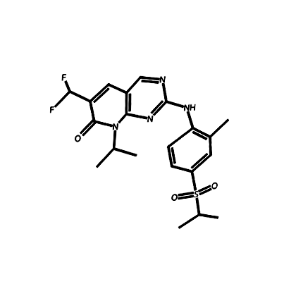 Cc1cc(S(=O)(=O)C(C)C)ccc1Nc1ncc2cc(C(F)F)c(=O)n(C(C)C)c2n1